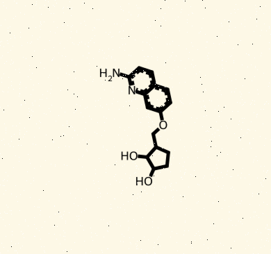 Nc1ccc2ccc(OCC3CCC(O)C3O)cc2n1